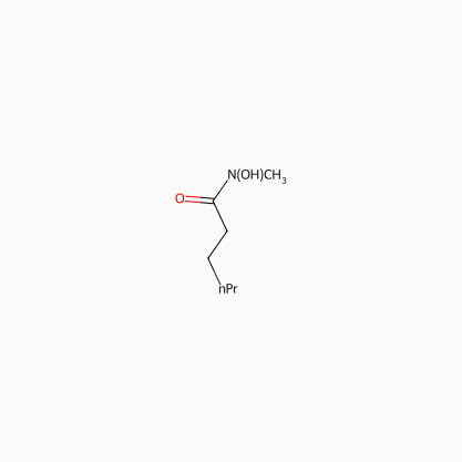 CCCCCC(=O)N(C)O